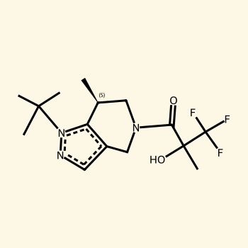 C[C@H]1CN(C(=O)C(C)(O)C(F)(F)F)Cc2cnn(C(C)(C)C)c21